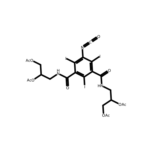 CC(=O)OCC(CNC(=O)c1c(I)c(N=C=O)c(I)c(C(=O)NCC(COC(C)=O)OC(C)=O)c1I)OC(C)=O